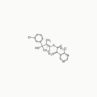 C=C(S/C(C)=C(\C)C(C)(O)c1cccc(Cl)c1)C(=O)c1cncnc1Cl